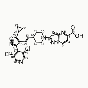 O=C(O)c1ccc2nc(N3CCC(/C=C/c4c(-c5c(Cl)cncc5Cl)noc4C4CC4)CC3)sc2n1